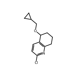 Clc1ccc2c(n1)CCCC2OCC1CC1